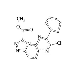 COC(=O)c1nnc2ccc3nc(Cl)c(-c4ccccc4)nc3n12